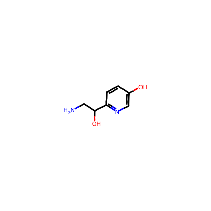 NCC(O)c1ccc(O)cn1